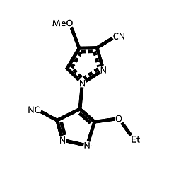 CCOC1=C(n2cc(OC)c(C#N)n2)C(C#N)=N[N]1